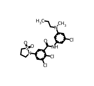 CCCN(C)c1cc(Cl)cc(NC(=O)c2cc(N3CCCS3(=O)=O)cc(Cl)c2Cl)c1